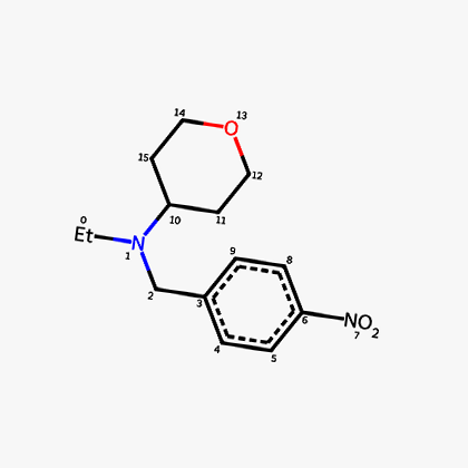 CCN(Cc1ccc([N+](=O)[O-])cc1)C1CCOCC1